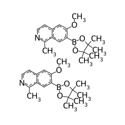 COc1cc2ccnc(C)c2cc1B1OC(C)(C)C(C)(C)O1.COc1cc2ccnc(C)c2cc1B1OC(C)(C)C(C)(C)O1